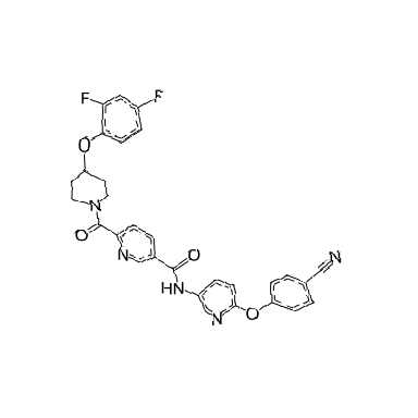 N#Cc1ccc(Oc2ccc(NC(=O)c3ccc(C(=O)N4CCC(Oc5ccc(F)cc5F)CC4)nc3)cn2)cc1